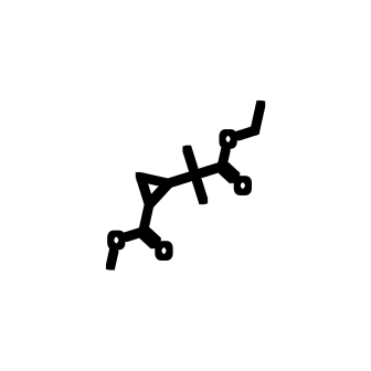 CCOC(=O)C(C)(C)C1CC1C(=O)OC